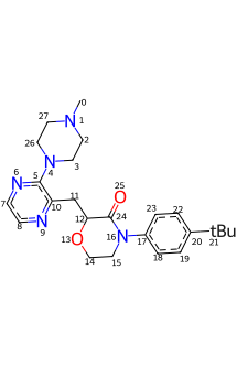 CN1CCN(c2nccnc2CC2OCCN(c3ccc(C(C)(C)C)cc3)C2=O)CC1